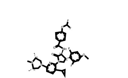 COc1cc(F)c([C@@H]2CN(c3nc(N4C[C@@H](C)N(C)[C@@H](C)C4)ccc3C3CC3)C(=O)[C@H]2NC(=O)c2ccc(OC(F)F)cc2)c(F)c1